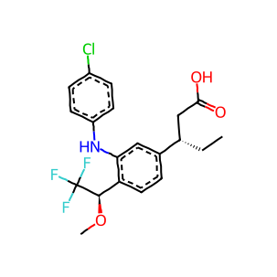 CC[C@@H](CC(=O)O)c1ccc([C@@H](OC)C(F)(F)F)c(Nc2ccc(Cl)cc2)c1